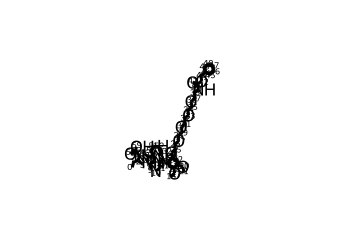 CCC1CNC(C2(C3=CC=NCN3Nc3cc(OC)c(OC)cc3OCCOCCOCCOCCOCCNC(=O)OCc3ccccc3)C=CC=CN2)CN1C(=O)O